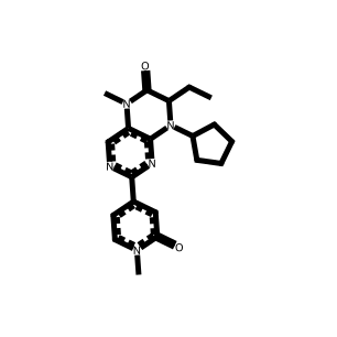 CCC1C(=O)N(C)c2cnc(-c3ccn(C)c(=O)c3)nc2N1C1CCCC1